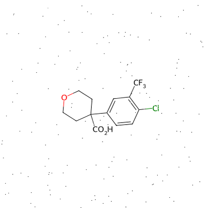 O=C(O)C1(c2ccc(Cl)c(C(F)(F)F)c2)CCOCC1